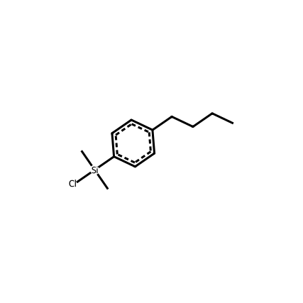 CCCCc1ccc([Si](C)(C)Cl)cc1